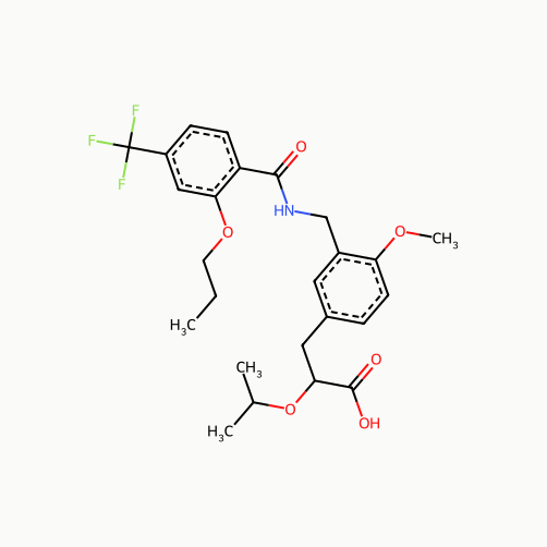 CCCOc1cc(C(F)(F)F)ccc1C(=O)NCc1cc(CC(OC(C)C)C(=O)O)ccc1OC